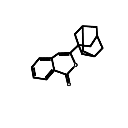 O=c1oc(C23CC4CC(CC(C4)C2)C3)cc2ccccc12